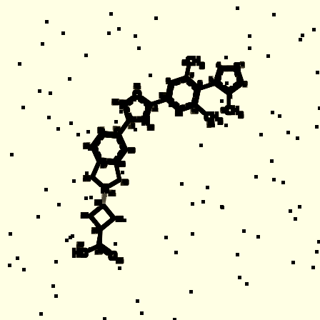 Cc1cscc1-c1c(C)cc(-c2nc(-c3ccc4c(c3)CN([C@H]3C[C@H](C(=O)O)C3)C4)no2)cc1C